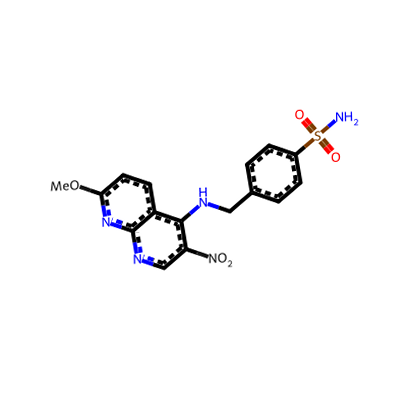 COc1ccc2c(NCc3ccc(S(N)(=O)=O)cc3)c([N+](=O)[O-])cnc2n1